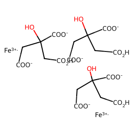 O=C([O-])CC(O)(CC(=O)O)C(=O)[O-].O=C([O-])CC(O)(CC(=O)O)C(=O)[O-].O=C([O-])CC(O)(CC(=O)O)C(=O)[O-].[Fe+3].[Fe+3]